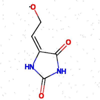 [O]CC=C1NC(=O)NC1=O